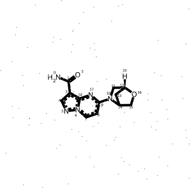 NC(=O)c1cnn2ccc(N3C[C@H]4CC3CO4)nc12